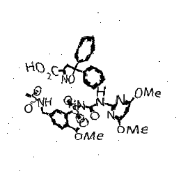 COC(=O)c1ccc(CNS(C)(=O)=O)cc1S(=O)(=O)NC(=O)Nc1nc(OC)cc(OC)n1.O=C(O)C1=NOC(c2ccccc2)(c2ccccc2)C1